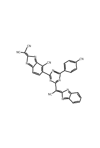 N#CC(C#N)=C1N=c2ccc(-c3nc(C(C#N)=C4N=c5ccccc5=N4)nc(-c4ccc(C#N)cc4)n3)c(C#N)c2=N1